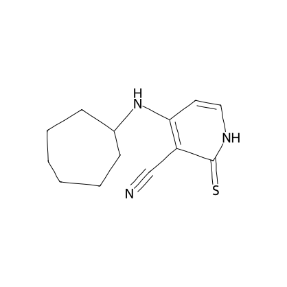 N#Cc1c(NC2CCCCCC2)cc[nH]c1=S